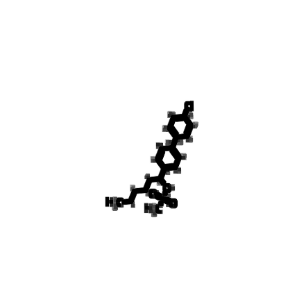 CCCCCC(OS(C)(=O)=O)c1ccc(-c2ccc(Cl)cc2)cc1